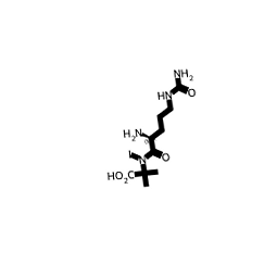 CC(C)(C(=O)O)N(I)C(=O)[C@@H](N)CCCNC(N)=O